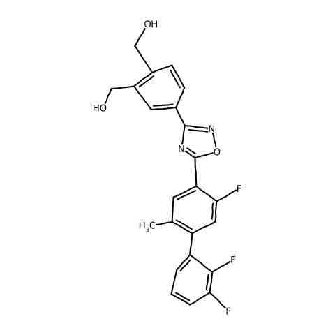 Cc1cc(-c2nc(-c3ccc(CO)c(CO)c3)no2)c(F)cc1-c1cccc(F)c1F